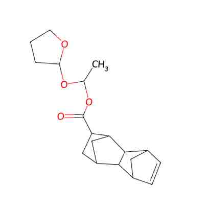 CC(OC(=O)C1CC2CC1C1C3C=CC(C3)C21)OC1CCCO1